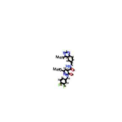 CNc1ncnc2ccc(CNC(=O)c3cc(OC)nn(Cc4ccc(F)c(F)c4)c3=O)cc12